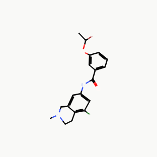 CC(Br)Oc1cccc(C(=O)Nc2cc(Cl)c3c(c2)CN(C)CC3)c1